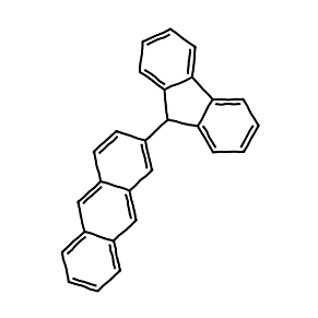 c1ccc2c(c1)-c1ccccc1C2c1ccc2cc3ccccc3cc2c1